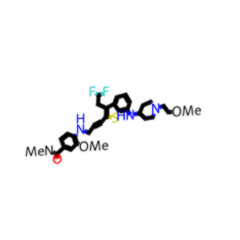 CNC(=O)c1ccc(NCC#Cc2sc3c(NC4CCN(CCOC)CC4)cccc3c2CC(F)F)c(OC)c1